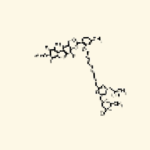 CCC1CC(CC2CC(CC(C)O)OC(CCCCCCCCCCOc3cc(C)ccc3C(=O)Oc3c(F)c(F)c(-c4c(F)c(F)c(OC)c(F)c4F)c(F)c3F)O2)OC(C)O1